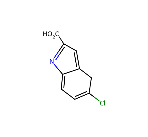 O=C(O)C1=NC2=CC=C(Cl)CC2=C1